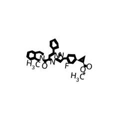 CCOC(=O)[C@@H]1C[C@H]1c1ccc(-c2cc3nc(C(=O)N4CCc5ccccc5[C@H]4C)cc(-c4ccccc4)n3n2)c(F)c1